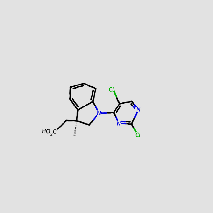 C[C@@]1(CC(=O)O)CN(c2nc(Cl)ncc2Cl)c2ccccc21